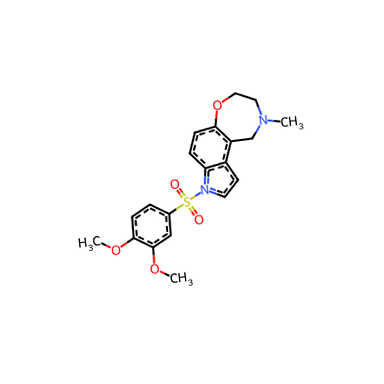 COc1ccc(S(=O)(=O)n2ccc3c4c(ccc32)OCCN(C)C4)cc1OC